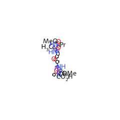 COC[C@H]1C[C@@H](c2ncc(-c3ccc4c(c3)COc3cc5c(ccc6nc([C@@H]7C[C@H](C)CN7C(=O)[C@@H](NC(=O)OC)C(C)C)[nH]c65)cc3-4)[nH]2)N(C(=O)[C@@H](c2ccccc2)N(C)C(=O)O)C1